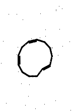 [CH]1C/C=C\C/C=C\CCC/C=C/C1